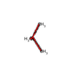 C[CH]c1nc(CCCCCCCCCCCCCCCCCCCCCCCC)cc(CCCCCCCCCCCCCCCCCCCCCCCC)n1